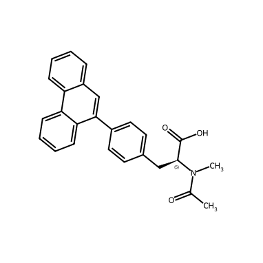 CC(=O)N(C)[C@@H](Cc1ccc(-c2cc3ccccc3c3ccccc23)cc1)C(=O)O